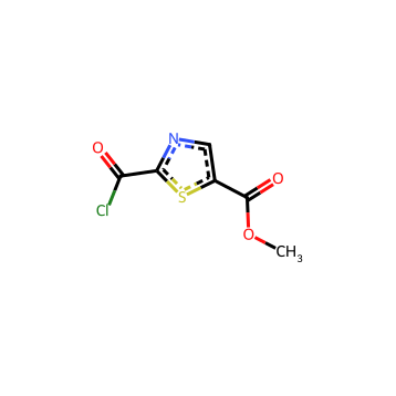 COC(=O)c1cnc(C(=O)Cl)s1